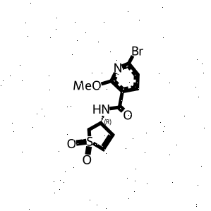 COc1nc(Br)ccc1C(=O)N[C@@H]1C=CS(=O)(=O)C1